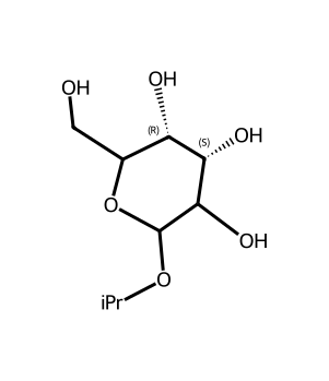 CC(C)OC1OC(CO)[C@H](O)[C@H](O)C1O